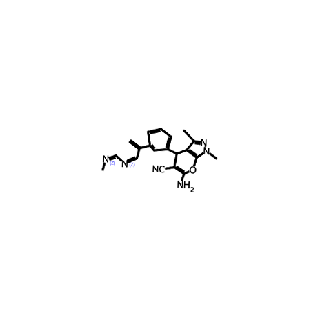 C=C(/C=N\C=N/C)c1cccc(C2C(C#N)=C(N)Oc3c2c(C)nn3C)c1